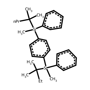 CCCC(C)(C)[Si](C)(c1ccccc1)c1ccc([Si](C)(c2ccccc2)C(C)(C)CC)cc1